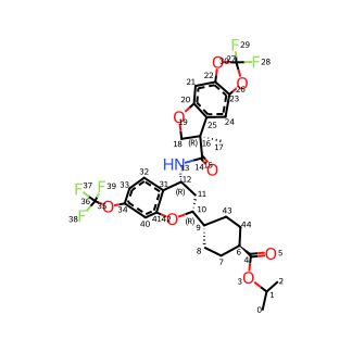 CC(C)OC(=O)[C@H]1CC[C@H]([C@H]2C[C@@H](NC(=O)[C@@]3(C)COc4cc5c(cc43)OC(F)(F)O5)c3ccc(OC(F)(F)F)cc3O2)CC1